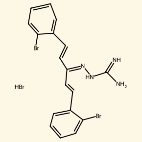 Br.N=C(N)NN=C(C=Cc1ccccc1Br)C=Cc1ccccc1Br